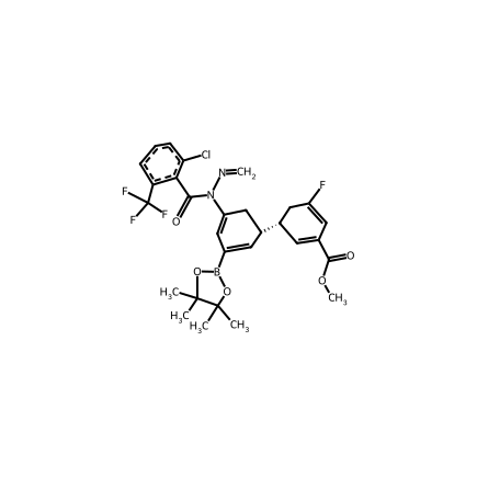 C=NN(C(=O)c1c(Cl)cccc1C(F)(F)F)C1=CC(B2OC(C)(C)C(C)(C)O2)=CC([C@H]2C=C(C(=O)OC)C=C(F)C2)C1